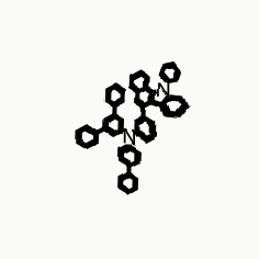 c1ccc(-c2ccc(N(c3cc(-c4ccccc4)cc(-c4ccccc4)c3)c3cccc(-c4cc5ccccc5c5c4c4ccccc4n5-c4ccccc4)c3)cc2)cc1